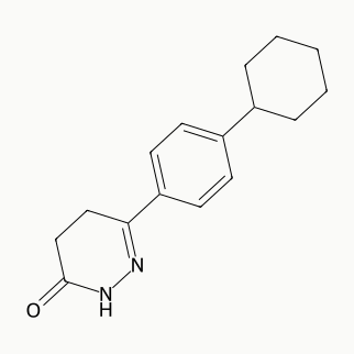 O=C1CCC(c2ccc(C3CCCCC3)cc2)=NN1